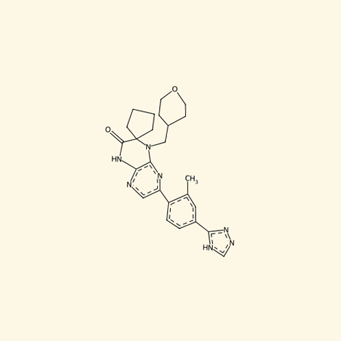 Cc1cc(-c2nnc[nH]2)ccc1-c1cnc2c(n1)N(CC1CCOCC1)C1(CCCC1)C(=O)N2